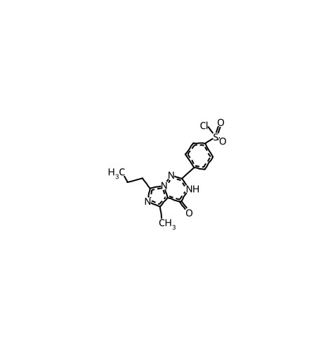 CCCc1nc(C)c2c(=O)[nH]c(-c3ccc(S(=O)(=O)Cl)cc3)nn12